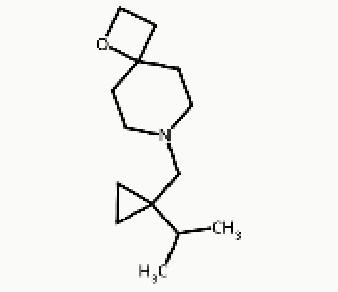 CC(C)C1(CN2CCC3(CCO3)CC2)CC1